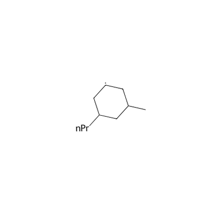 CCCC1C[CH]CC(C)C1